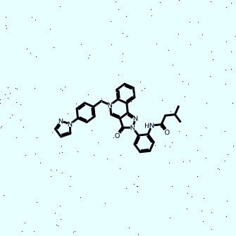 CC(C)CC(=O)Nc1ccccc1-n1nc2c3ccccc3n(Cc3ccc(-n4cccn4)cc3)cc-2c1=O